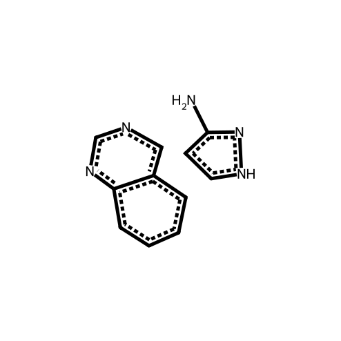 Nc1cc[nH]n1.c1ccc2ncncc2c1